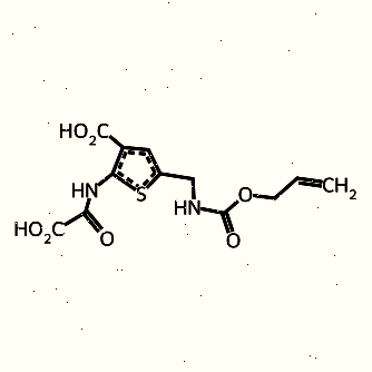 C=CCOC(=O)NCc1cc(C(=O)O)c(NC(=O)C(=O)O)s1